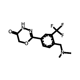 CN(C)Cc1ccc(C2=NNC(=O)CO2)cc1C(F)(F)F